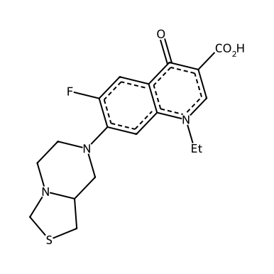 CCn1cc(C(=O)O)c(=O)c2cc(F)c(N3CCN4CSCC4C3)cc21